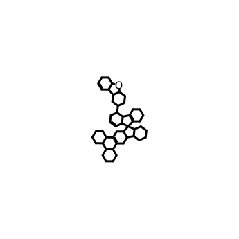 C1=CC2C(CC1)OC1CCC(C3CC=CC4C3C3=C(CCCC3)C43C4CCCCC4C4CC5=C(CC43)C3CCCCC3C3CCCCC53)CC12